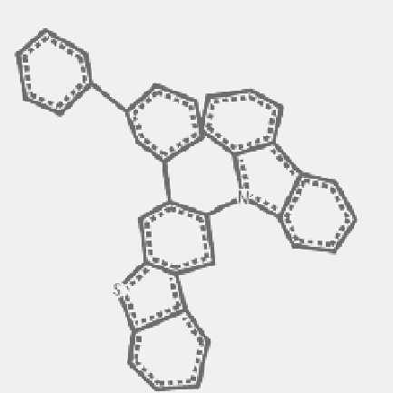 c1ccc(-c2cccc(-c3cc4sc5ccccc5c4cc3-n3c4ccccc4c4ccccc43)c2)cc1